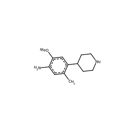 COc1cc(C2CCNCC2)c(C)cc1N